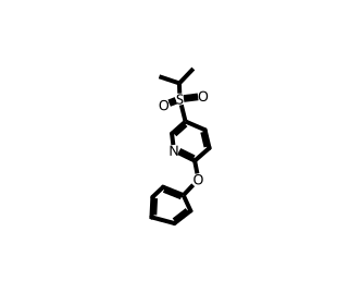 CC(C)S(=O)(=O)c1ccc(Oc2ccccc2)nc1